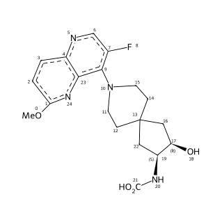 COc1ccc2ncc(F)c(N3CCC4(CC3)C[C@@H](O)[C@@H](NC(=O)O)C4)c2n1